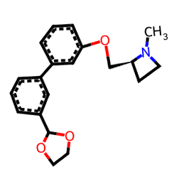 CN1CC[C@H]1COc1cccc(-c2cccc(C3OCCO3)c2)c1